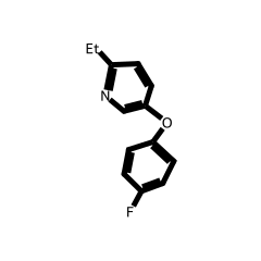 CCc1ccc(Oc2ccc(F)cc2)cn1